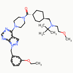 CCOc1cccc(Cn2ncc3c(N4CCN(C(=O)[C@H]5CC[C@H](CN(CCOC)C(C)(C)C)CC5)CC4)ncnc32)c1